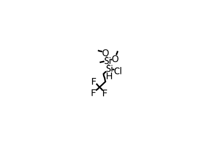 CO[Si](C)(OC)[SiH](Cl)CCC(F)(F)F